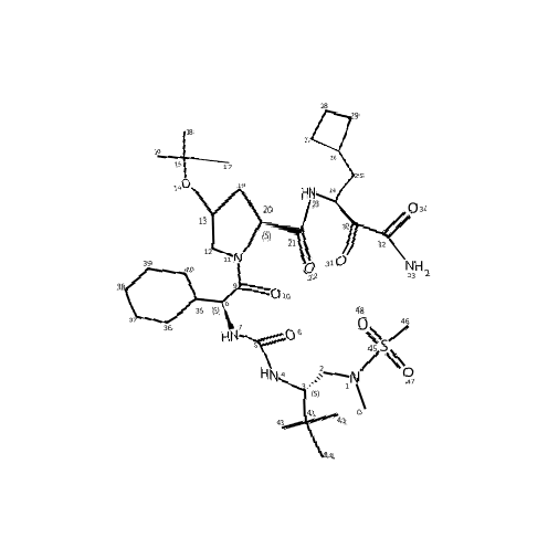 CN(C[C@@H](NC(=O)N[C@H](C(=O)N1CC(OC(C)(C)C)C[C@H]1C(=O)NC(CC1CCC1)C(=O)C(N)=O)C1CCCCC1)C(C)(C)C)S(C)(=O)=O